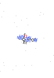 C=CC(=O)Nc1cc(Nc2cc(-c3ccc4c(cnn4C)c3)ncn2)c(CC)cc1N1CCN(C)CC1